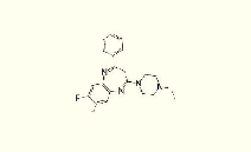 CCN1CCN(C2=Nc3cc(F)c(F)cc3N=C(c3ccccc3)C2)CC1